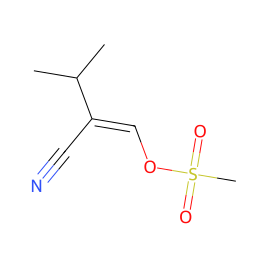 CC(C)C(C#N)=COS(C)(=O)=O